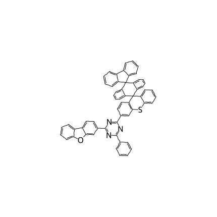 c1ccc(-c2nc(-c3ccc4c(c3)Sc3ccccc3C43c4ccccc4C4(c5ccccc5-c5ccccc54)c4ccccc43)nc(-c3ccc4c(c3)oc3ccccc34)n2)cc1